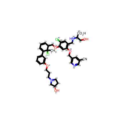 CC1(Cl)C(c2cccc(OCCCN3CC[C@@H](O)C3)c2)=CC=CC1COc1cc(OCc2cncc(C#N)c2)c(CNC(CO)C(=O)O)cc1Cl